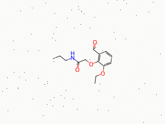 CCCNC(=O)COc1c(C=O)cccc1OCC